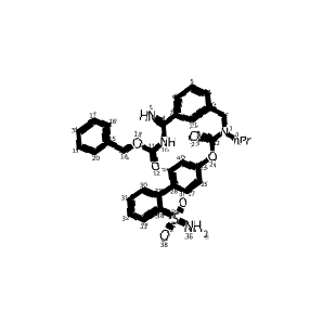 CCCN(Cc1cccc(C(=N)NC(=O)OCc2ccccc2)c1)C(=O)Oc1ccc(-c2ccccc2S(N)(=O)=O)cc1